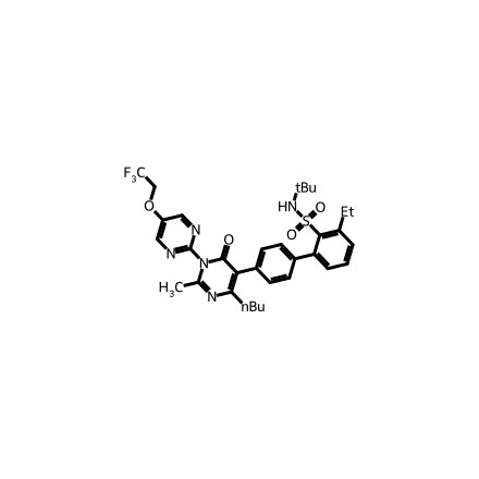 CCCCc1nc(C)n(-c2ncc(OCC(F)(F)F)cn2)c(=O)c1-c1ccc(-c2cccc(CC)c2S(=O)(=O)NC(C)(C)C)cc1